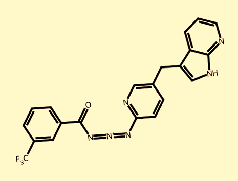 O=C(N=[N+]=Nc1ccc(Cc2c[nH]c3ncccc23)cn1)c1cccc(C(F)(F)F)c1